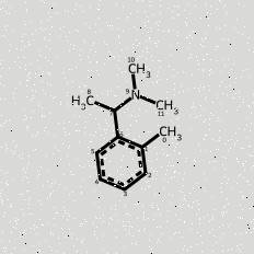 Cc1ccccc1C(C)N(C)C